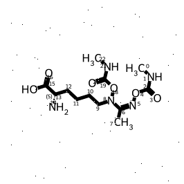 CNC(=O)ON=C(C)N(CCCC[C@H](N)C(=O)O)OC(=O)NC